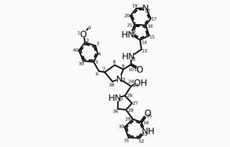 COc1ccc(CC2CC(C(=O)NCc3cc4cnccc4[nH]3)N(C(O)C3CC(c4ccc[nH]c4=O)CN3)C2)cc1